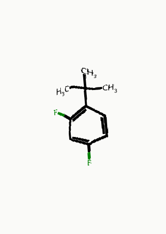 CC(C)(C)c1ccc(F)cc1F